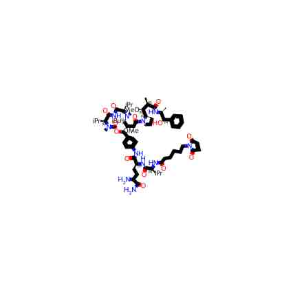 CC[C@H](C)[C@@H]([C@@H](CC(=O)N1CCC[C@H]1[C@H](OC)[C@@H](C)C(=O)N[C@H](C)[C@@H](O)c1ccccc1)OC)N(C)[C@H](C(=O)NC(=O)[C@H](C(C)C)N(C)C(=O)OCc1ccc(NC(=O)[C@H](CCC(N)C(N)=O)NC(=O)[C@@H](NC(=O)CCCCCN2C(=O)C=CC2=O)C(C)C)cc1)C(C)C